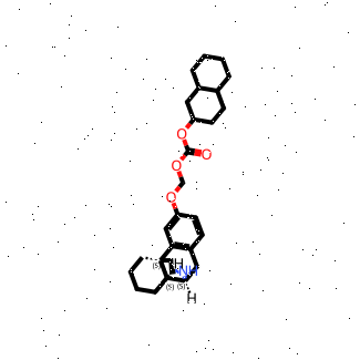 O=C(OCOc1ccc2c(c1)[C@]13CCCC[C@@H]1[C@H](C2)NCC3)OC1CCC2CCCCC2C1